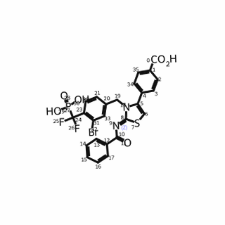 O=C(O)c1ccc(-c2cs/c(=N\C(=O)c3ccccc3)n2Cc2ccc(C(F)(F)P(=O)(O)O)c(Br)c2)cc1